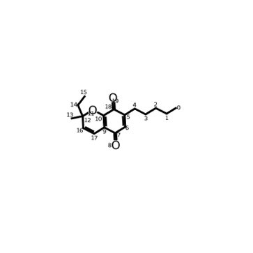 CCCCCC1=CC(=O)C2=C(OC(C)(CC)C=C2)C1=O